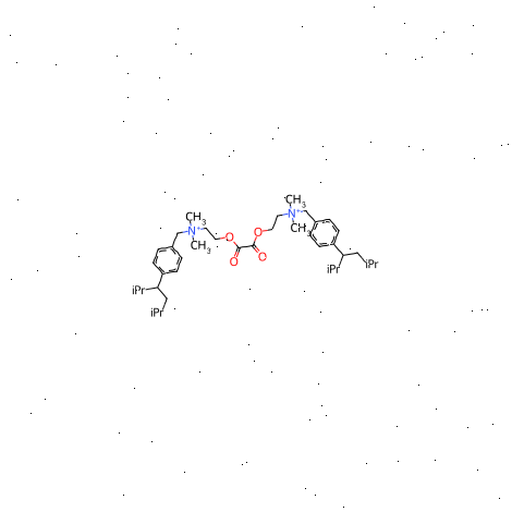 CC(C)CC(c1ccc(C[N+](C)(C)CCOC(=O)C(=O)OCC[N+](C)(C)Cc2ccc(C(CC(C)C)C(C)C)cc2)cc1)C(C)C